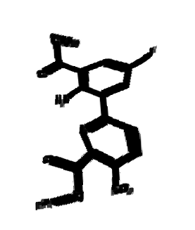 CCCOC(=O)c1nc(-c2cc(F)cc(C(=O)OC)c2N)ccc1[N+](=O)[O-]